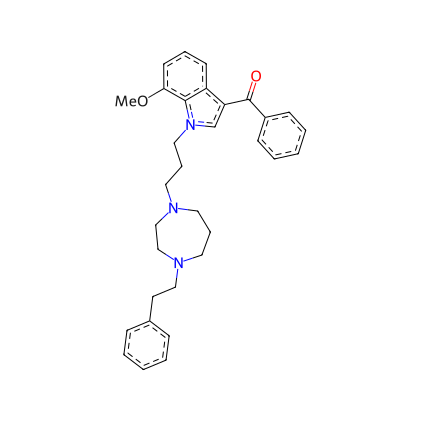 COc1cccc2c(C(=O)c3ccccc3)cn(CCCN3CCCN(CCc4ccccc4)CC3)c12